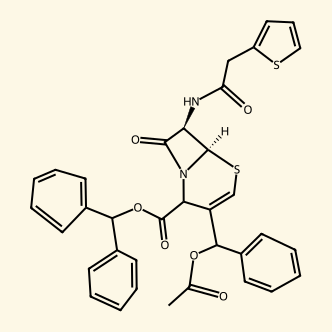 CC(=O)OC(C1=CS[C@@H]2[C@H](NC(=O)Cc3cccs3)C(=O)N2C1C(=O)OC(c1ccccc1)c1ccccc1)c1ccccc1